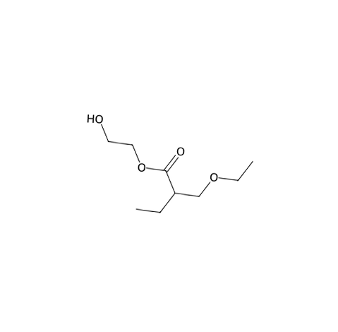 CCOCC(CC)C(=O)OCCO